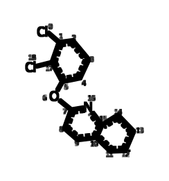 Clc1cccc(Oc2ccc3c[c]ccc3n2)c1Cl